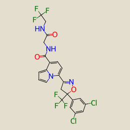 O=C(CNC(=O)c1ccc(C2=NOC(c3cc(Cl)cc(Cl)c3)(C(F)(F)F)C2)n2cccc12)NCC(F)(F)F